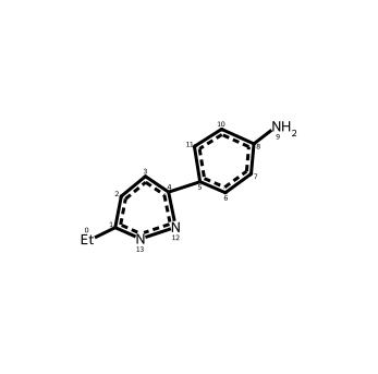 CCc1ccc(-c2ccc(N)cc2)nn1